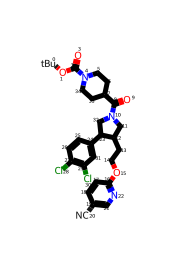 CC(C)(C)OC(=O)N1CCC(C(=O)N2CC(CCOc3ccc(C#N)cn3)C(c3ccc(Cl)c(Cl)c3)C2)CC1